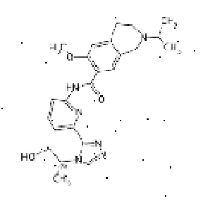 COc1cc2c(cc1C(=O)Nc1cccc(-c3nncn3[C@H](C)CO)n1)CN(C(C)C)CC2